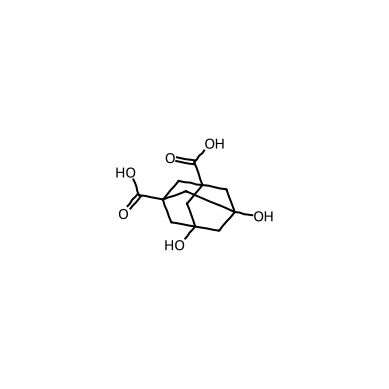 O=C(O)C12CC3(O)CC(O)(C1)CC(C(=O)O)(C3)C2